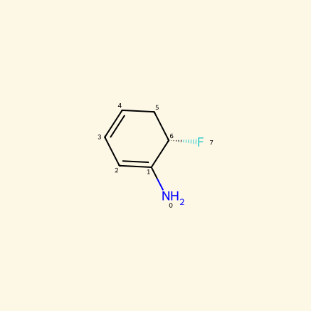 NC1=CC=CC[C@@H]1F